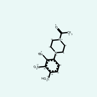 CC(C)(C)c1c(N2CCN(C(=O)C(F)(F)F)CC2)ccc(C(=O)O)c1[N+](=O)[O-]